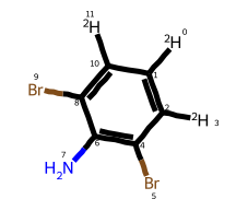 [2H]c1c([2H])c(Br)c(N)c(Br)c1[2H]